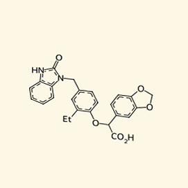 CCc1cc(Cn2c(=O)[nH]c3ccccc32)ccc1OC(C(=O)O)c1ccc2c(c1)OCO2